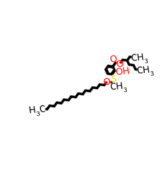 CCCCCCCCCCCCCCCCCCOC(C)Sc1cccc(C(=O)OCC(CC)CCCC)c1O